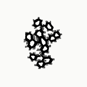 C1=CCCC(N(c2ccccc2)c2ccc3c(-c4cccc5ccccc45)c4cc(N(c5ccccc5)c5cccc6ccccc56)ccc4c(-c4ccc5ccccc5c4)c3c2)=C1